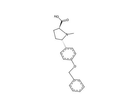 CN1[C@H](C(=O)O)CC[C@H]1c1ccc(OCc2ccccc2)cc1